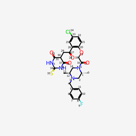 C[C@@H]1CN(Cc2ccc(F)cc2)[C@@H](C)CN1C(=O)COc1ccc(Cl)cc1C(=O)CC1C(=O)NC(=S)NC1=O